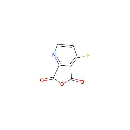 O=C1OC(=O)c2c(F)ccnc21